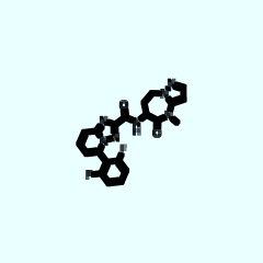 CN1C(=O)C(NC(=O)c2nc3cccc(-c4c(F)cccc4F)n3n2)CCn2nccc21